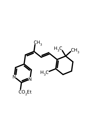 CCOC(=O)c1ncc(C=C(C)C=CC2=C(C)CCCC2(C)C)cn1